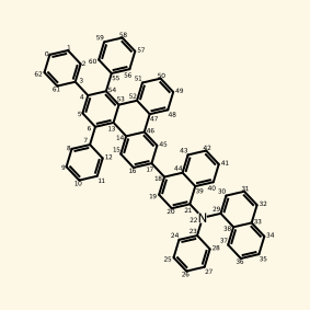 c1ccc(-c2cc(-c3ccccc3)c3c4ccc(-c5ccc(N(c6ccccc6)c6cccc7ccccc67)c6ccccc56)cc4c4ccccc4c3c2-c2ccccc2)cc1